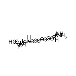 N=C(N)NCc1ccc(OCCOCCOCCOCCOCCOCCOCCNCCCOc2c(I)cc(Oc3c(I)cc(CC(=O)O)cc3I)cc2I)cc1